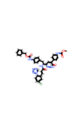 COC(=O)Nc1ccc(-c2cc(C(Cc3ccc(NC(=O)OCc4ccccc4)cc3)NC(=O)C=Cc3cc(Cl)ccc3-n3cnnn3)n[nH]c2=O)cc1